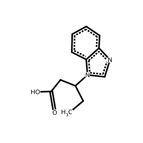 CCC(CC(=O)O)n1cnc2ccccc21